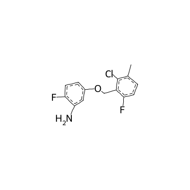 Cc1ccc(F)c(COc2ccc(F)c(N)c2)c1Cl